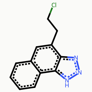 ClCCc1cc2ccccc2c2[nH]nnc12